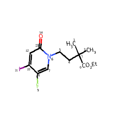 CCOC(=O)C(C)(C)CCn1cc(F)c(I)cc1=O